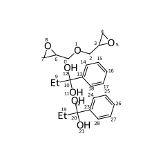 C(OCC1CO1)C1CO1.CCC(O)(O)c1ccccc1.CCC(O)(O)c1ccccc1